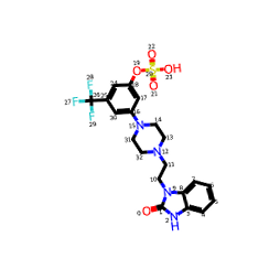 O=c1[nH]c2ccccc2n1CCN1CCN(c2cc(OS(=O)(=O)O)cc(C(F)(F)F)c2)CC1